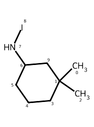 CC1(C)CCCC(NI)C1